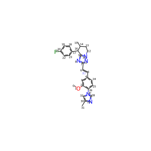 COc1cc(/C=C/c2nc3n(n2)CCC(C)C3c2ccc(F)cc2)ccc1-n1cnc(C)c1